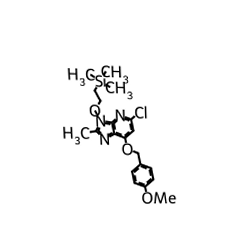 COc1ccc(COc2cc(Cl)nc3c2nc(C)n3OCC[Si](C)(C)C)cc1